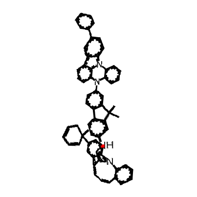 CC1(c2ccc3c(c2)c2/c(=C/Nc4ccc5c(c4)C(C)(C)c4cc(N6c7ccccc7-n7c8ccc(-c9ccccc9)cc8c8cccc6c87)ccc4-5)n3-c3ccccc3/C=C\C=2)C=CC=CC1